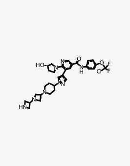 O=C(Nc1ccc(OC(F)(F)Cl)cc1)c1cnc(N2CC[C@@H](O)C2)c(-c2cnn(C3CCN(C4CN(C5CNC5)C4)CC3)c2)c1